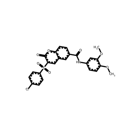 COc1ccc(NC(=O)c2ccc3oc(=O)c(S(=O)(=O)c4ccc(Cl)cc4)cc3c2)cc1OC